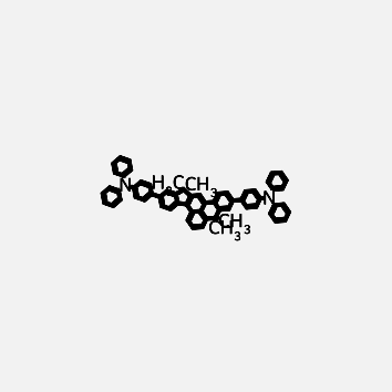 CC1(C)c2cc(-c3ccc(N(c4ccccc4)c4ccccc4)cc3)ccc2-c2c1cc1c3c(cccc23)C(C)(C)c2cc(-c3ccc(N(c4ccccc4)c4ccccc4)cc3)ccc2-1